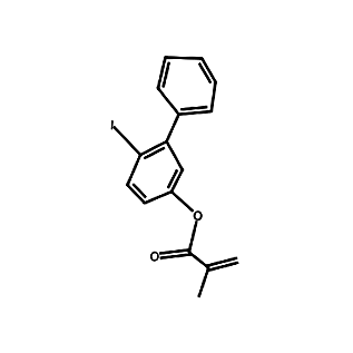 C=C(C)C(=O)Oc1ccc(I)c(-c2ccccc2)c1